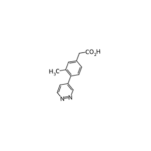 Cc1cc(CC(=O)O)ccc1-c1ccnnc1